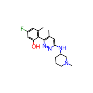 Cc1cc(N[C@@H]2CCCN(C)C2)nnc1-c1c(C)cc(F)cc1O